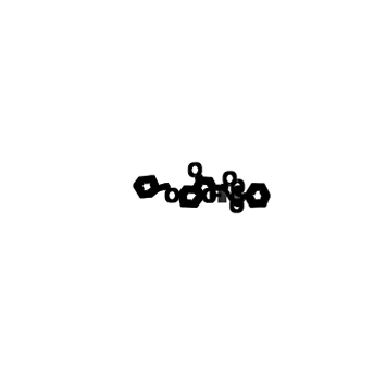 O=C(NS(=O)(=O)c1ccccc1)c1cc(=O)c2cc(OCc3ccccc3)ccc2o1